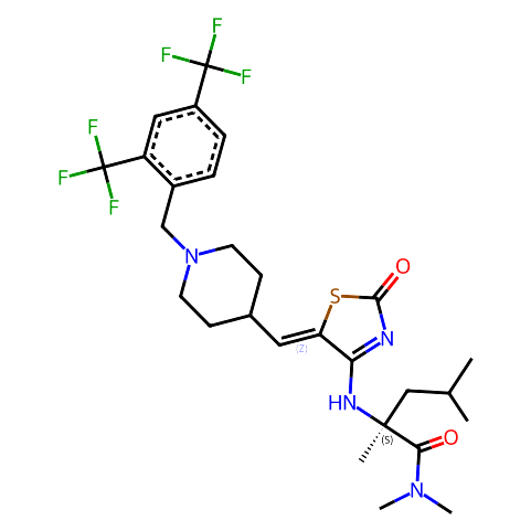 CC(C)C[C@](C)(NC1=NC(=O)S/C1=C\C1CCN(Cc2ccc(C(F)(F)F)cc2C(F)(F)F)CC1)C(=O)N(C)C